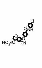 N#Cc1cc2c(cc1Oc1ccc(C(=O)Nc3ccc(Cl)cc3)cc1)OCCC2OC(=O)O